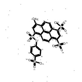 CC(=O)Oc1cc(S(=O)(=O)Oc2ccc(S(=O)(=O)Cl)cc2)c2ccc3c(S(=O)(=O)Cl)cc(S(=O)(=O)Cl)c4ccc1c2c43